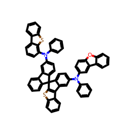 c1ccc(N(c2ccc3c(c2)-c2c(sc4ccccc24)C32c3ccccc3-c3cc(N(c4ccccc4)c4cccc5c4sc4ccccc45)ccc32)c2ccc3oc4ccccc4c3c2)cc1